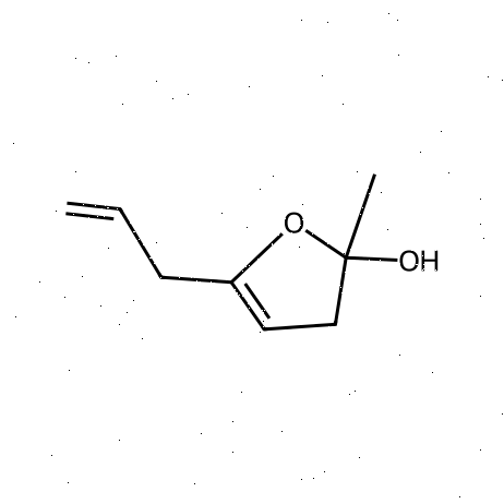 C=CCC1=CCC(C)(O)O1